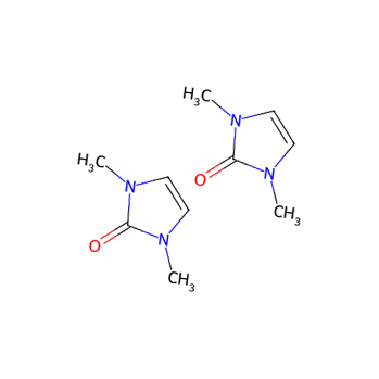 Cn1ccn(C)c1=O.Cn1ccn(C)c1=O